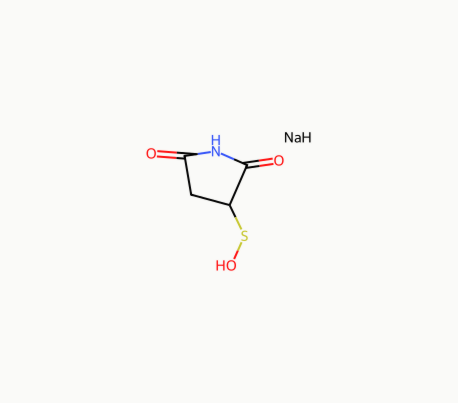 O=C1CC(SO)C(=O)N1.[NaH]